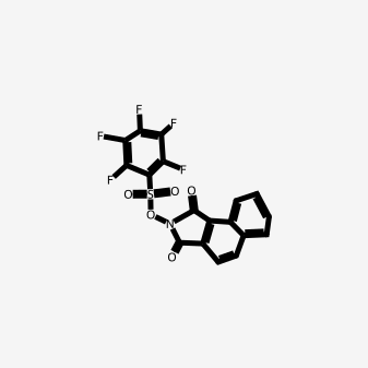 O=C1c2ccc3ccccc3c2C(=O)N1OS(=O)(=O)c1c(F)c(F)c(F)c(F)c1F